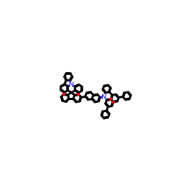 c1ccc(-c2cccc(-c3ccccc3N(c3cccc(-c4ccccc4)c3)c3ccc4cc(-c5ccc6c(c5)C5(c7ccccc7-6)c6ccccc6-n6c7ccccc7c7cccc5c76)ccc4c3)c2)cc1